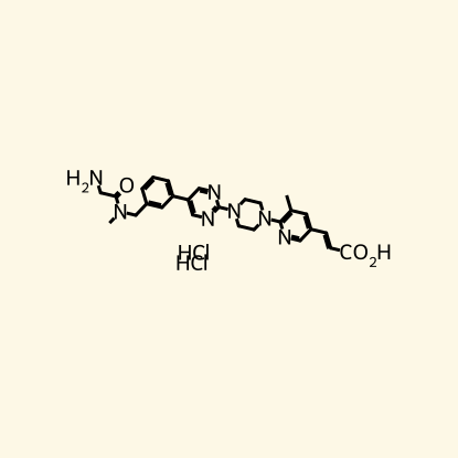 Cc1cc(C=CC(=O)O)cnc1N1CCN(c2ncc(-c3cccc(CN(C)C(=O)CN)c3)cn2)CC1.Cl.Cl